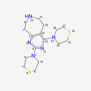 C1Cc2nc(N3CCSCC3)nc(N3CCSCC3)c2CCN1